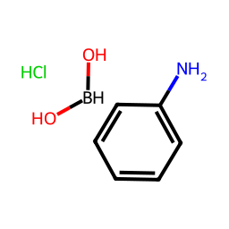 Cl.Nc1ccccc1.OBO